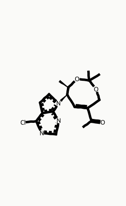 CC(=O)/C1=C/[C@@H](n2ccc3c(Cl)ncnc32)[C@@H](C)OC(C)(C)OC1